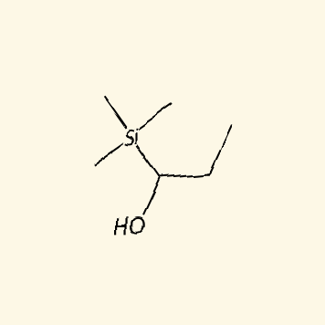 CCC(O)[Si](C)(C)C